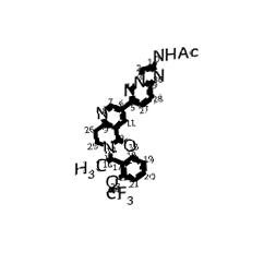 CC(=O)Nc1cn2nc(-c3cnc4c(c3)C(=O)N(C(C)c3ccccc3OC(F)(F)F)CC4)ccc2n1